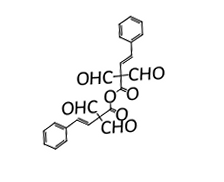 O=CC(C=O)(C=Cc1ccccc1)C(=O)OC(=O)C(C=O)(C=O)C=Cc1ccccc1